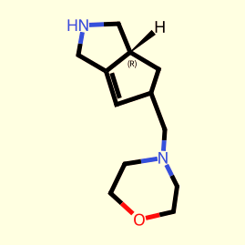 C1=C2CNC[C@@H]2CC1CN1CCOCC1